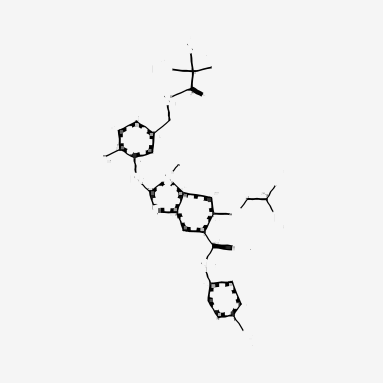 Cn1c(Nc2cc(CNC(=O)C(C)(N)C(F)(F)F)ccc2Cl)nc2cc(C(=O)Nc3ccc(Br)cc3)c(OCC(F)F)cc21